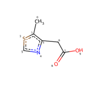 Cc1s[c]nc1CC(=O)O